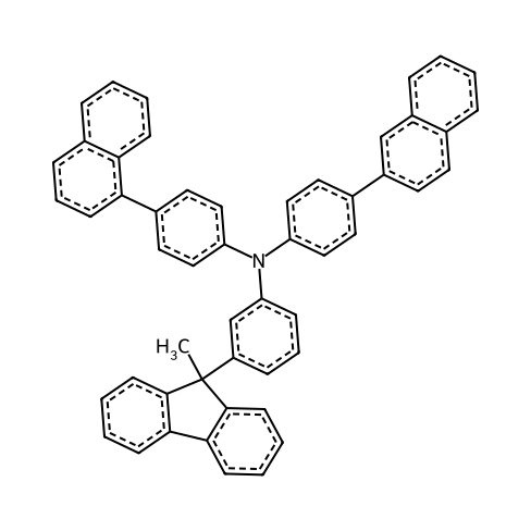 CC1(c2cccc(N(c3ccc(-c4ccc5ccccc5c4)cc3)c3ccc(-c4cccc5ccccc45)cc3)c2)c2ccccc2-c2ccccc21